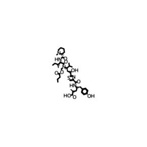 CCCC(=O)OCN(C(=O)[C@@H](NC(=O)[C@H]1CCCCN1C)[C@@H](C)CC)[C@H](C[C@@H](O)c1nc(C(=O)N[C@@H](Cc2ccc(O)cc2)C[C@H](C)C(=O)O)cs1)C(C)C